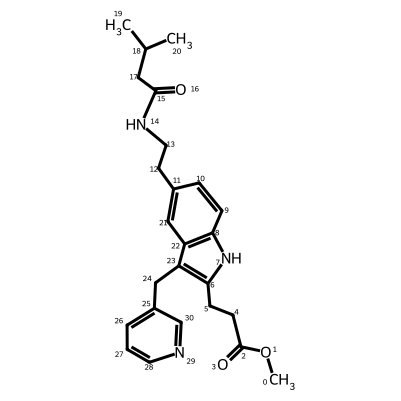 COC(=O)CCc1[nH]c2ccc(CCNC(=O)CC(C)C)cc2c1Cc1cccnc1